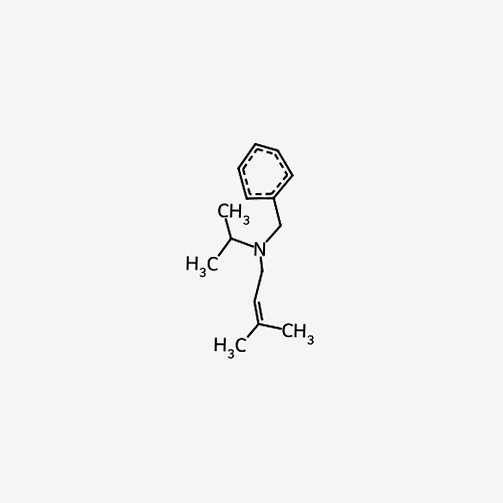 CC(C)=CCN(Cc1ccccc1)C(C)C